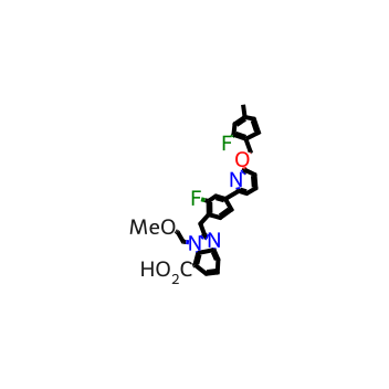 COCCn1c(Cc2ccc(-c3cccc(OCc4ccc(C)cc4F)n3)cc2F)nc2cccc(C(=O)O)c21